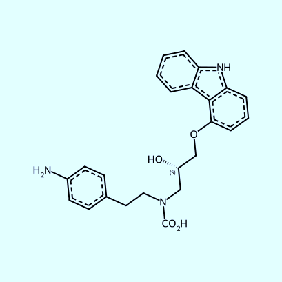 Nc1ccc(CCN(C[C@H](O)COc2cccc3[nH]c4ccccc4c23)C(=O)O)cc1